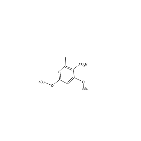 CCCCOc1cc(C)c(C(=O)O)c(OCCCC)c1